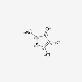 CCCCn1sc(Cl)c(Cl)c1=O